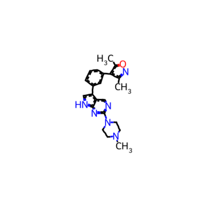 Cc1noc(C)c1-c1cccc(-c2c[nH]c3nc(N4CCN(C)CC4)ncc23)c1